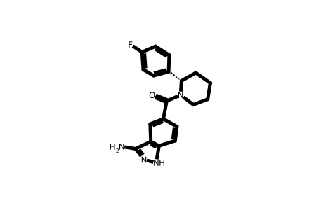 Nc1n[nH]c2ccc(C(=O)N3CCCC[C@H]3c3ccc(F)cc3)cc12